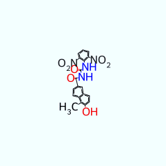 Cc1c(O)ccc2cc(C(=O)NC(=O)Nc3c([N+](=O)[O-])cccc3[N+](=O)[O-])ccc12